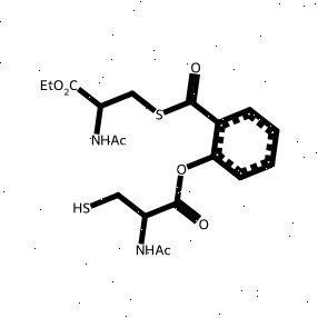 CCOC(=O)C(CSC(=O)c1ccccc1OC(=O)C(CS)NC(C)=O)NC(C)=O